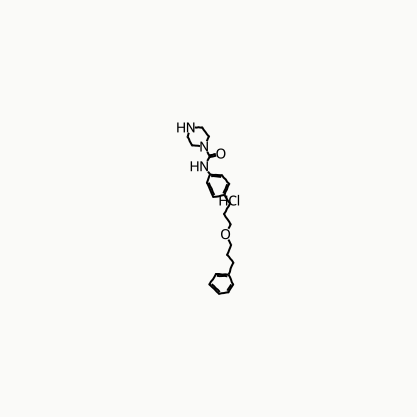 Cl.O=C(Nc1ccc(CCCOCCCc2ccccc2)cc1)N1CCNCC1